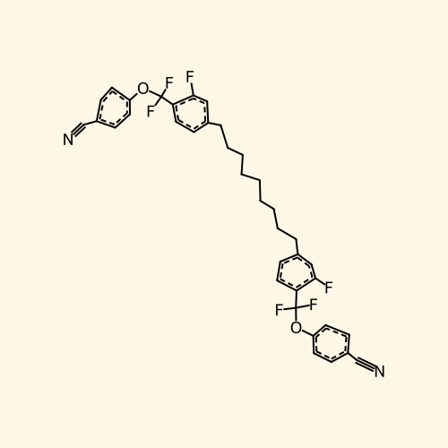 N#Cc1ccc(OC(F)(F)c2ccc(CCCCCCCCCc3ccc(C(F)(F)Oc4ccc(C#N)cc4)c(F)c3)cc2F)cc1